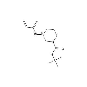 C=CC(=O)N[C@H]1CCCN(C(=O)OC(C)(C)C)C1